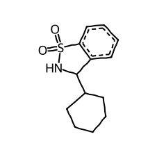 O=S1(=O)NC(C2CCCCC2)c2ccccc21